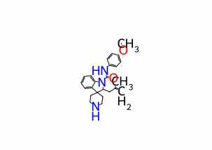 C=C(C)CC1N(C(=O)Nc2ccc(OC)cc2)c2ccccc2C12CCNCC2